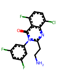 NCCc1nc2c(Cl)ccc(F)c2c(=O)n1-c1cc(F)cc(F)c1